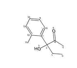 CCC(O)(C(C)=O)c1ccccc1C